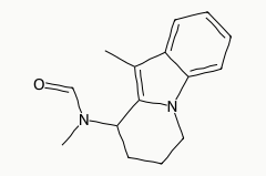 Cc1c2n(c3ccccc13)CCCC2N(C)C=O